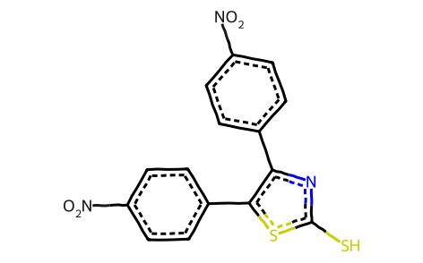 O=[N+]([O-])c1ccc(-c2nc(S)sc2-c2ccc([N+](=O)[O-])cc2)cc1